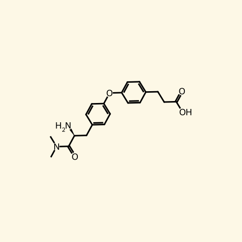 CN(C)C(=O)[C@@H](N)Cc1ccc(Oc2ccc(CCC(=O)O)cc2)cc1